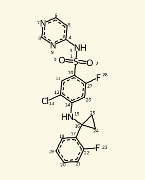 O=S(=O)(Nc1ccncn1)c1cc(Cl)c(NC2(c3ccccc3F)CC2)cc1F